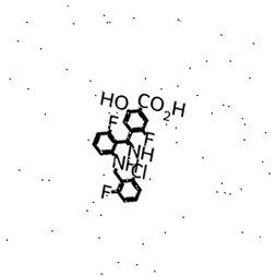 N=C(c1cc(O)c(C(=O)O)cc1F)c1c(F)cccc1NCc1c(F)cccc1Cl